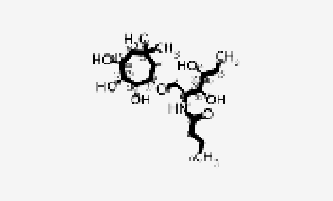 CCCC(=O)N[C@@H](CO[C@H]1CC(C)(C)C[C@H](O)[C@H](O)[C@H]1O)[C@H](O)[C@H](O)CC